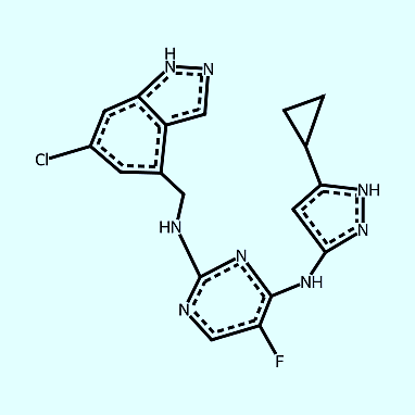 Fc1cnc(NCc2cc(Cl)cc3[nH]ncc23)nc1Nc1cc(C2CC2)[nH]n1